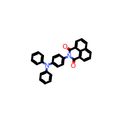 O=C1c2cccc3cccc(c23)C(=O)N1c1ccc(N(c2ccccc2)c2ccccc2)cc1